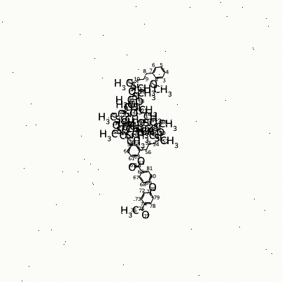 COc1ccccc1CCC[Si](C)(C)O[Si](C)(C)O[Si](C)(C)O[Si](C)(C)O[Si](C)(C)O[Si](C)(C)O[Si](C)(C)O[Si](C)(C)O[Si](C)(C)O[Si](C)(C)O[Si](C)(C)CCCc1ccccc1OC(=O)c1ccc(Oc2ccc(C(C)=O)cc2)cc1